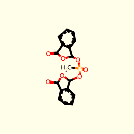 CP(=O)(OC1OC(=O)c2ccccc21)OC1OC(=O)c2ccccc21